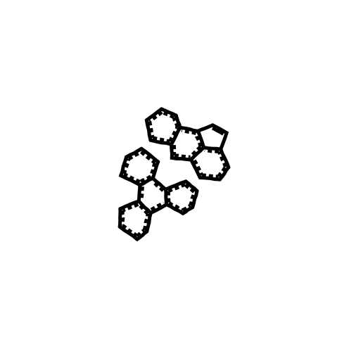 C1=Cc2c3ccccc3cc3cccc1c23.c1ccc2c(c1)c1ccccc1c1ccccc21